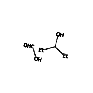 CCC(O)CC.O=CO